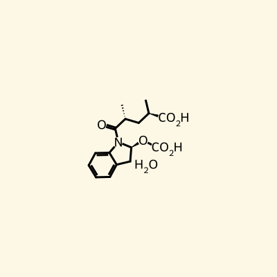 C[C@H](C[C@@H](C)C(=O)N1c2ccccc2C[C@@H]1OC(=O)O)C(=O)O.O